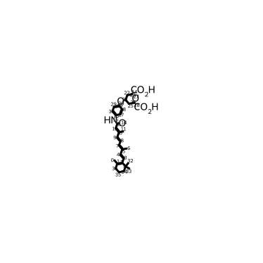 CC1=C(/C=C/C(C)=C/C=C/C(C)=C/C(=O)Nc2ccc(OC(CCC(=O)O)CC(=O)C(=O)O)cc2)C(C)(C)CCC1